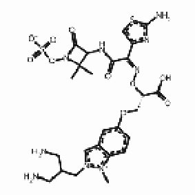 C[n+]1c2ccc(OC[C@H](O/N=C(\C(=O)N[C@@H]3C(=O)N(OS(=O)(=O)[O-])C3(C)C)c3csc(N)n3)C(=O)O)cc2cn1CC(CN)CN